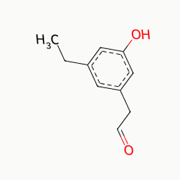 CCc1cc(O)cc(CC=O)c1